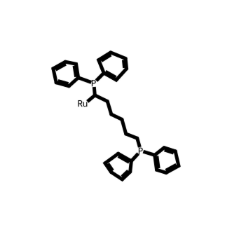 [Ru][CH](CCCCCP(c1ccccc1)c1ccccc1)P(c1ccccc1)c1ccccc1